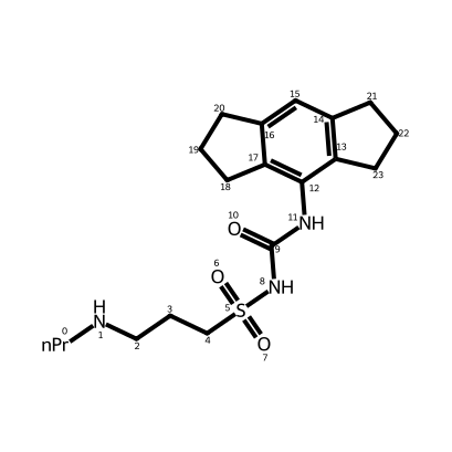 CCCNCCCS(=O)(=O)NC(=O)Nc1c2c(cc3c1CCC3)CCC2